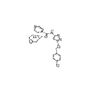 O=C(Nc1nnc(OCc2ccc(Cl)cc2)s1)c1ccncc1[C@@]12CCOC[C@@H]1C2